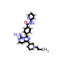 CC=CN1CCCC(c2nc(-c3ccc(C(=O)Nc4ccccn4)cc3)n3c(N)nccc23)C1